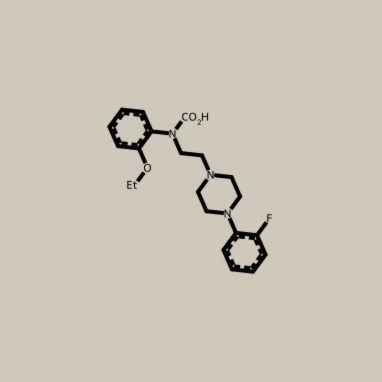 CCOc1ccccc1N(CCN1CCN(c2ccccc2F)CC1)C(=O)O